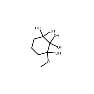 COC1(O)CCCC(O)(O)C1(O)O